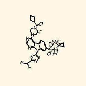 C[C@@H]1CN(c2ncnc3c2c2ccc(S(=O)(=O)NC4(C#N)CC4)cc2n3-c2nnc(C(F)F)s2)CCN1C(=O)C1CCC1